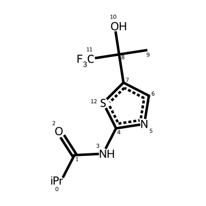 CC(C)C(=O)Nc1ncc(C(C)(O)C(F)(F)F)s1